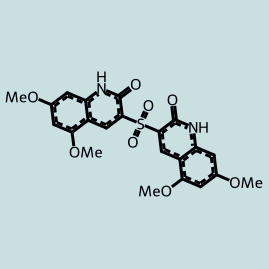 COc1cc(OC)c2cc(S(=O)(=O)c3cc4c(OC)cc(OC)cc4[nH]c3=O)c(=O)[nH]c2c1